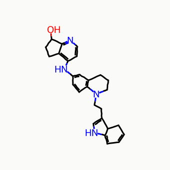 OC1CCc2c(Nc3ccc4c(c3)CCCN4CCC3=CNC4=CC=CCC34)ccnc21